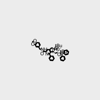 CC(C)(C)[S@@+]([O-])N1Cc2cc(C(=O)NCc3ccc4c(c3)OCO4)nc(-c3ccccc3)c2[C@H]1CCO[Si](c1ccccc1)(c1ccccc1)C(C)(C)C